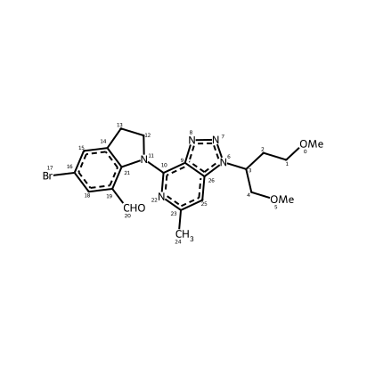 COCCC(COC)n1nnc2c(N3CCc4cc(Br)cc(C=O)c43)nc(C)cc21